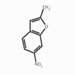 [CH2]c1cc2ccc([N+](=O)[O-])cc2o1